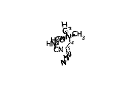 C[N+](C)(C)CCN=[N+]=[N-].N#CNC#N